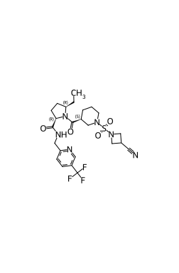 CC[C@@H]1CC[C@H](C(=O)NCc2ccc(C(F)(F)F)cn2)N1C(=O)[C@H]1CCCN(S(=O)(=O)N2CC(C#N)C2)C1